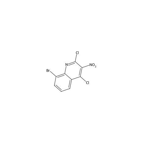 O=[N+]([O-])c1c(Cl)nc2c(Br)cccc2c1Cl